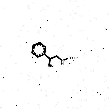 CCCCC(CNC(=O)OCC)c1ccccc1